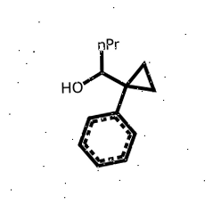 CCCC(O)C1(c2ccccc2)CC1